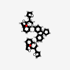 C(=C(c1ccco1)c1ccco1)N(c1ccccc1)c1ccc(C2(c3ccc(N(C=C(c4ccco4)c4ccco4)c4ccccc4)cc3)CCCC2)cc1